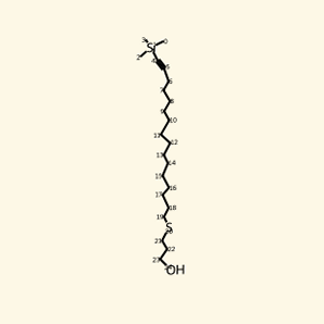 C[Si](C)(C)C#CCCCCCCCCCCCCCCSCCCO